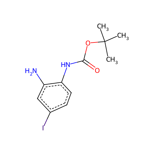 CC(C)(C)OC(=O)Nc1ccc(I)cc1N